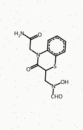 NC(=O)CN1C(=O)C(CN(O)C=O)Sc2ccccc21